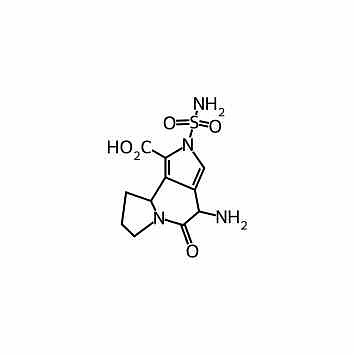 NC1C(=O)N2CCCC2c2c1cn(S(N)(=O)=O)c2C(=O)O